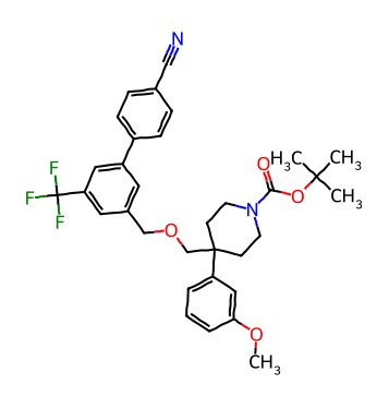 COc1cccc(C2(COCc3cc(-c4ccc(C#N)cc4)cc(C(F)(F)F)c3)CCN(C(=O)OC(C)(C)C)CC2)c1